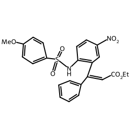 CCOC(=O)C=C(c1ccccc1)c1cc([N+](=O)[O-])ccc1NS(=O)(=O)c1ccc(OC)cc1